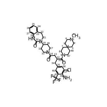 CN1CCC2(CC1)CCN(C(=O)C(CC(=O)N1CCC(N3CCc4ccccc4NC3=O)CC1)Cc1cc(Cl)c(N)c(C(F)(F)F)c1)CC2